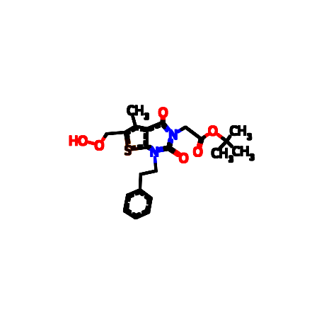 Cc1c(COO)sc2c1c(=O)n(CC(=O)OC(C)(C)C)c(=O)n2CCc1ccccc1